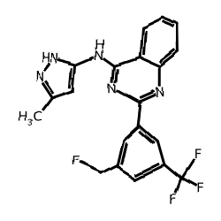 Cc1cc(Nc2nc(-c3cc(CF)cc(C(F)(F)F)c3)nc3ccccc23)[nH]n1